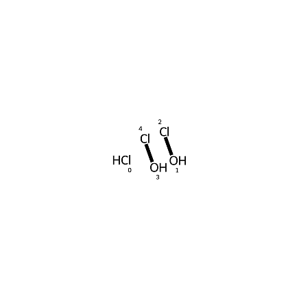 Cl.OCl.OCl